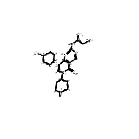 CC(C)CC(C)Nc1ncc2c(=O)n(C3CCNCC3)cc([C@H]3CC[C@H](O)CC3)c2n1